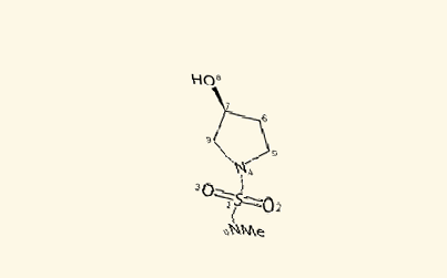 CNS(=O)(=O)N1CC[C@H](O)C1